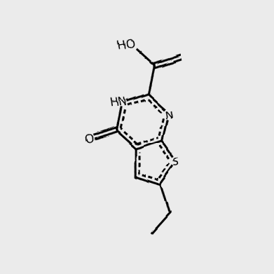 C=C(O)c1nc2sc(CC)cc2c(=O)[nH]1